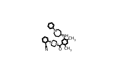 Cc1cc(C)c(C(=O)N2CCN(c3ccccc3C#N)CC2)cc1N[C@H]1CCCN(c2ccccc2)CC1